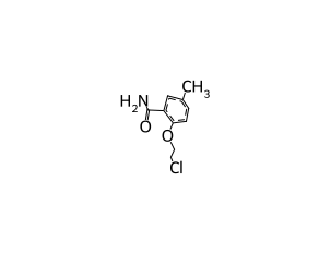 Cc1ccc(OCCCl)c(C(N)=O)c1